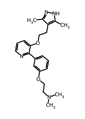 Cc1n[nH]c(C)c1CCOc1cccnc1-c1cccc(OCCN(C)C)c1